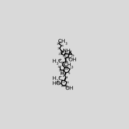 C=C1/C(=C\C=C2/CCC[C@]3(C)[C@@H]([C@H](C)/C=C/[C@@H](O)C4(c5ccc(CCCC)[nH]5)CC4)CC[C@@H]23)C[C@@H](O)C[C@@H]1O